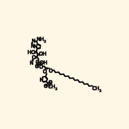 CCCCCCCCCCCCCCCCCCOC[C@H](COP(=O)(O)OC[C@@H](OC#N)[C@@H](O)[C@@H](O)c1ccc2c(N)ncnn12)OCc1cncc(S(C)(=O)=O)c1